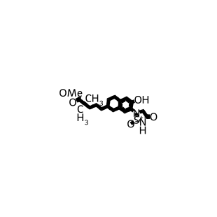 COC(=O)C(C)(C)CCCC1CCc2cc(O)c(N3CC(=O)N[S+]3[O-])cc2C1